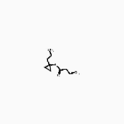 CCCC(=O)OC1(CCC)CC1